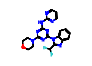 FC(F)c1nc2ccccc2n1-c1nc(Nc2ncccn2)nc(N2CCOCC2)n1